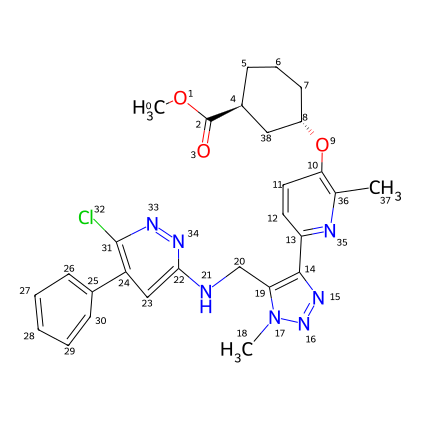 COC(=O)[C@H]1CCC[C@H](Oc2ccc(-c3nnn(C)c3CNc3cc(-c4ccccc4)c(Cl)nn3)nc2C)C1